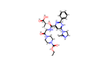 CCOC(=O)N1CCN(C(=O)[C@H](CCC(=O)O)NC(=O)c2cc(N3CCN=C3C)nc(-c3ccccc3)n2)CC1